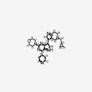 c1cc(-c2nc(N3CCOCC3)nc3c(-c4cnn5c4CN(CC4CC4)CC5)c[nH]c23)ccn1